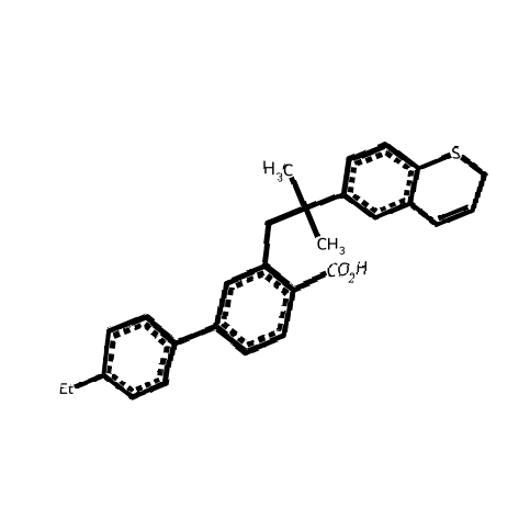 CCc1ccc(-c2ccc(C(=O)O)c(CC(C)(C)c3ccc4c(c3)C=CCS4)c2)cc1